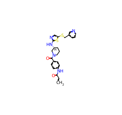 C=CC(=O)Nc1ccc(C(=O)N2CCC[C@@H](Nc3ncc(SCc4cccnc4)s3)C2)cc1